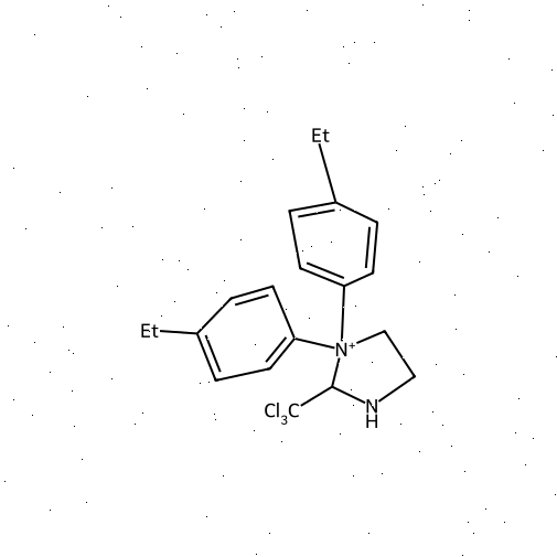 CCc1ccc([N+]2(c3ccc(CC)cc3)CCNC2C(Cl)(Cl)Cl)cc1